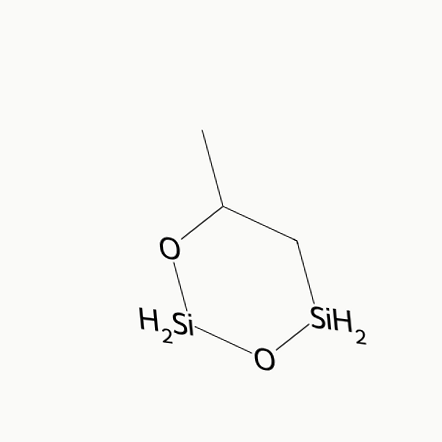 CC1C[SiH2]O[SiH2]O1